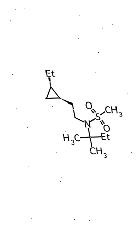 CC[C@@H]1C[C@@H]1CCN(C(C)(C)CC)S(C)(=O)=O